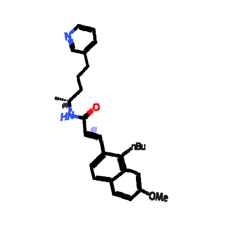 CCCCc1c(/C=C/C(=O)N[C@H](C)CCCc2cccnc2)ccc2ccc(OC)cc12